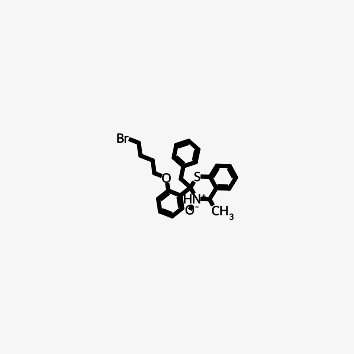 CC1c2ccccc2SC(Cc2ccccc2)(c2ccccc2OCCCCBr)[NH+]1[O-]